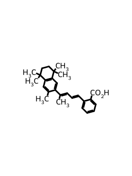 C/C(=C\C=C\c1ccccc1C(=O)O)c1cc2c(cc1C)C(C)(C)CCC2(C)C